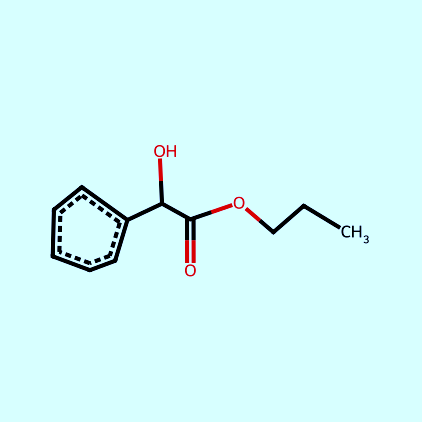 CCCOC(=O)C(O)c1ccccc1